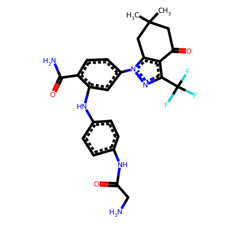 CC1(C)CC(=O)c2c(C(F)(F)F)nn(-c3ccc(C(N)=O)c(Nc4ccc(NC(=O)CN)cc4)c3)c2C1